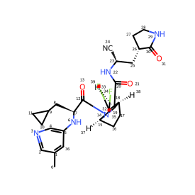 Cc1cncc(N[C@@H](CC2CC2)C(=O)N2[C@@H]3CC[C@H]([C@@H]2C(=O)N[C@@H](C#N)C[C@@H]2CCNC2=O)C(F)(F)C3)c1